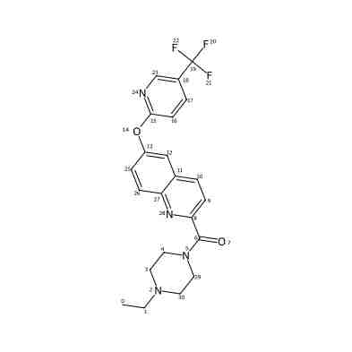 CCN1CCN(C(=O)c2ccc3cc(Oc4ccc(C(F)(F)F)cn4)ccc3n2)CC1